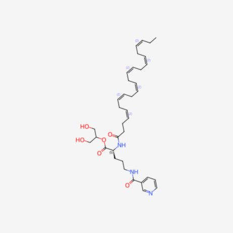 CC/C=C\C/C=C\C/C=C\C/C=C\C/C=C\C/C=C\CCC(=O)N[C@@H](CCCNC(=O)c1cccnc1)C(=O)OC(CO)CO